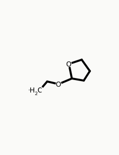 [CH2]COC1CCCO1